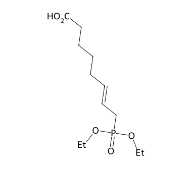 CCOP(=O)(C/C=C/CCCCC(=O)O)OCC